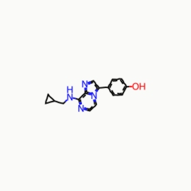 Oc1ccc(-c2cnc3c(NCC4CC4)nccn23)cc1